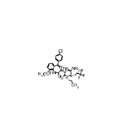 CCC[C@H](C(=O)N[C@H]1N=C(c2ccc(Cl)cc2)c2cccc(OC)c2NC1=O)[C@@H](CCC(F)(F)F)C(N)=O